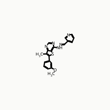 COc1cccc(-c2sc3c(NN=Cc4cccnc4)ncnc3c2C)c1